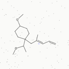 C=C/C=C(\C)CC1(C(C)OC)CCC(OC)CC1